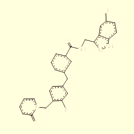 O=C(NCc1n[nH]c2ccc(Cl)cc12)c1cccc(Cc2ccc(Cn3ccccc3=O)c(F)c2)c1